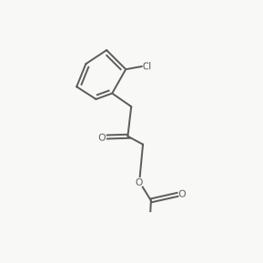 CC(=O)OCC(=O)Cc1ccccc1Cl